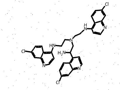 NC(CN(CCNc1ccnc2cc(Cl)ccc12)CCNc1ccnc2cc(Cl)ccc12)c1ccnc2cc(Cl)ccc12